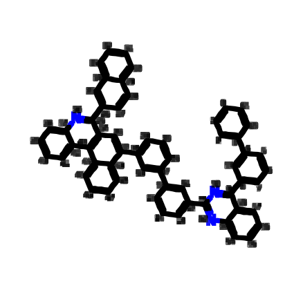 c1ccc(-c2cccc(-c3nc(-c4cccc(-c5cccc(-c6cc7c(-c8ccc9ccccc9c8)nc8ccccc8c7c7ccccc67)c5)c4)nc4ccccc34)c2)cc1